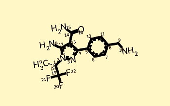 C[C@H](n1nc(-c2ccc(CN)cc2)c(C(N)=O)c1N)C(F)(F)F